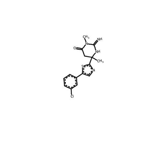 CN1C(=N)NC(C)(c2ncc(-c3cccc(Cl)c3)s2)CC1=O